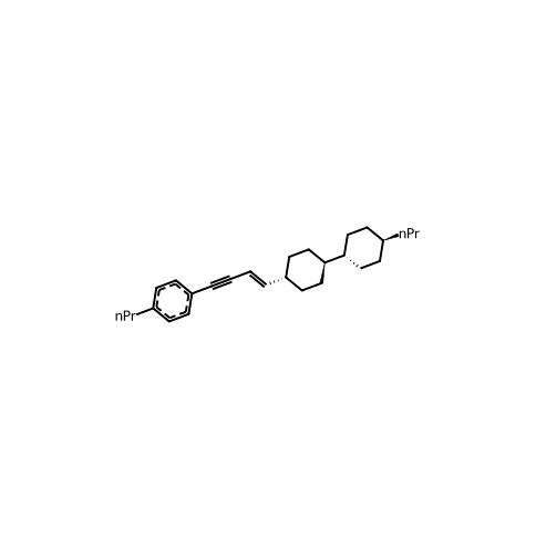 CCCc1ccc(C#CC=C[C@H]2CC[C@H]([C@H]3CC[C@H](CCC)CC3)CC2)cc1